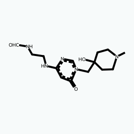 CN1CCC(O)(Cn2cnc(NCCNC=O)cc2=O)CC1